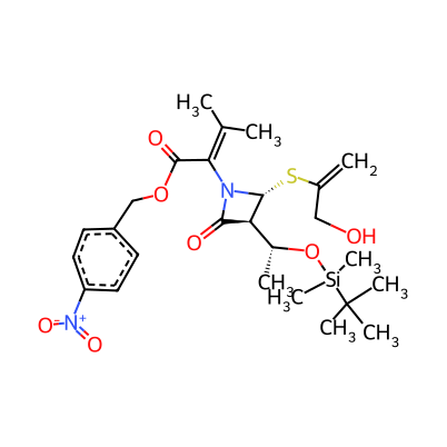 C=C(CO)S[C@@H]1[C@@H]([C@@H](C)O[Si](C)(C)C(C)(C)C)C(=O)N1C(C(=O)OCc1ccc([N+](=O)[O-])cc1)=C(C)C